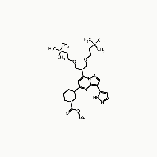 CC(C)(C)OC(=O)N1CCCC(c2cc(N(COCC[Si](C)(C)C)COCC[Si](C)(C)C)n3ncc(-c4ccn[nH]4)c3n2)C1